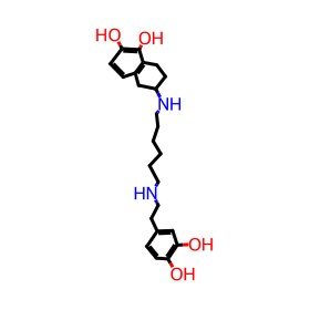 Oc1ccc(CCNCCCCCCNC2CCc3c(ccc(O)c3O)C2)cc1O